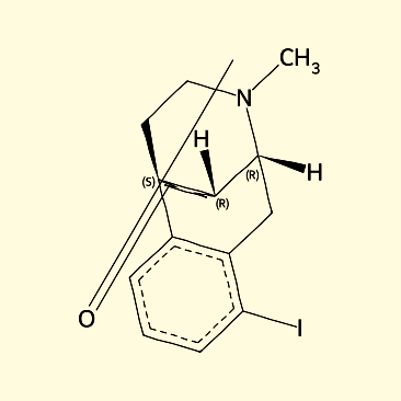 CN1CC[C@]23CC(=O)CC[C@H]2[C@H]1Cc1c(I)cccc13